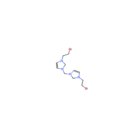 BrCCN1C=CN(CN2C=CN(CCBr)C2)C1